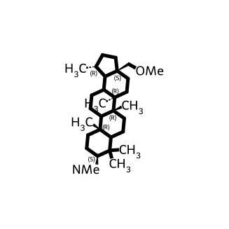 CN[C@H]1CC[C@@]2(C)C(CC[C@]3(C)C2CCC2C4[C@H](C)CC[C@]4(COC)CC[C@]23C)C1(C)C